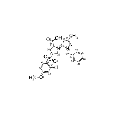 COc1ccc(S(=O)(=O)C2CC(C(=O)O)N(c3cc(C)nn3Cc3ccccc3)C2)c(Cl)c1